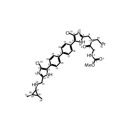 COC(=O)NCC(=O)N(Cc1nc(Cl)c(-c2ccc(-c3ccc(-c4[nH]c(CNC5C(C)[C@H]5C)nc4Cl)cc3)cc2)[nH]1)CC(C)C